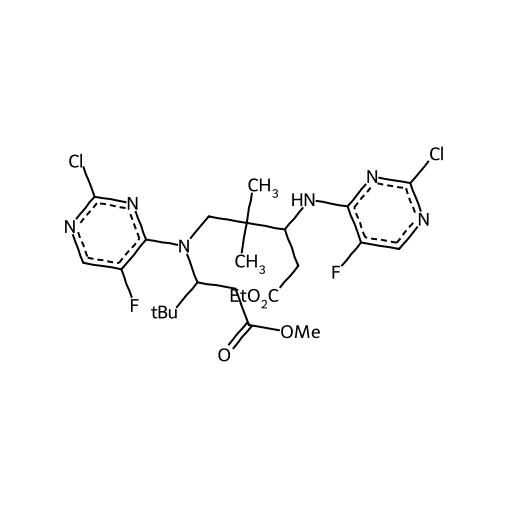 CCOC(=O)CC(Nc1nc(Cl)ncc1F)C(C)(C)CN(c1nc(Cl)ncc1F)C(CC(=O)OC)C(C)(C)C